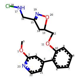 COc1cc(-c2ccccc2OCC2CC(CNCl)=NO2)ccn1